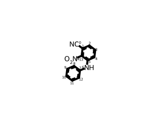 N#Cc1cccc(Nc2ccccc2)c1[N+](=O)[O-]